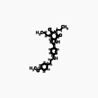 CCCn1c(=O)c2[nH]c(-c3ccc(NCCc4ccc(OC)cc4)nc3)nc2n(CCC)c1=O